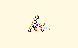 CNC(=O)C(CN(C)C(=O)[C@@H](Cc1csc2ccccc12)N(C)C(=O)COCC(C)(C)N)c1cccs1